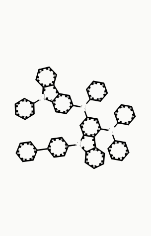 c1ccc(-c2ccc(-n3c4ccccc4c4c(N(c5ccccc5)c5ccccc5)cc(N(c5ccccc5)c5ccc6c(c5)c5ccccc5n6-c5ccccc5)cc43)cc2)cc1